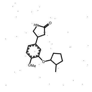 COc1ccc(C2CNC(=O)C2)cc1OC1CCCC1C